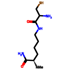 CN[C@@H](CCCCNC(=O)C(N)CS)C(N)=O